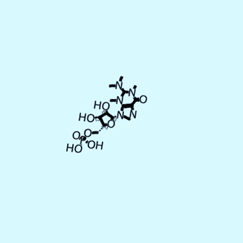 CN(C)C1N(C)C(=O)c2ncn([C@@H]3O[C@H](COP(=O)(O)O)[C@@H](O)[C@H]3O)c2N1C